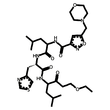 CCOCCC(=O)C(CC(C)C)NC(=O)[C@H](Cc1cscn1)NC(=O)C(CC(C)C)NC(=O)c1cc(CN2CCOCC2)on1